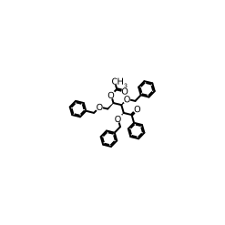 CC(=O)O[C@H](COCc1ccccc1)[C@@H](OCc1ccccc1)[C@@H](OCc1ccccc1)C(=O)c1ccccc1